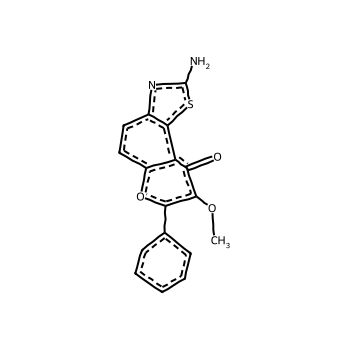 COc1c(-c2ccccc2)oc2ccc3nc(N)sc3c2c1=O